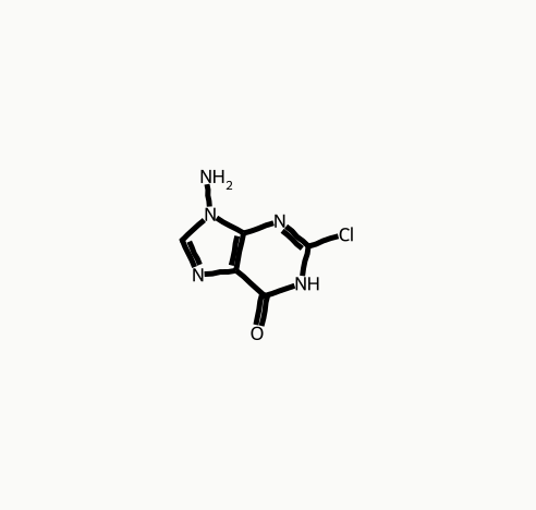 Nn1cnc2c(=O)[nH]c(Cl)nc21